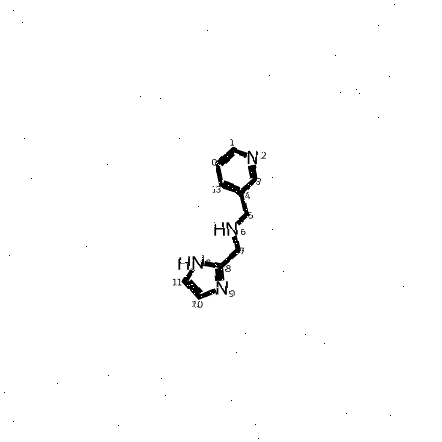 c1cncc(CNCc2ncc[nH]2)c1